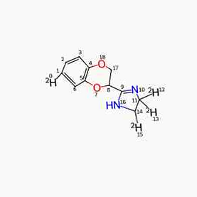 [2H]c1ccc2c(c1)OC(C1=NC([2H])([2H])C([2H])N1)CO2